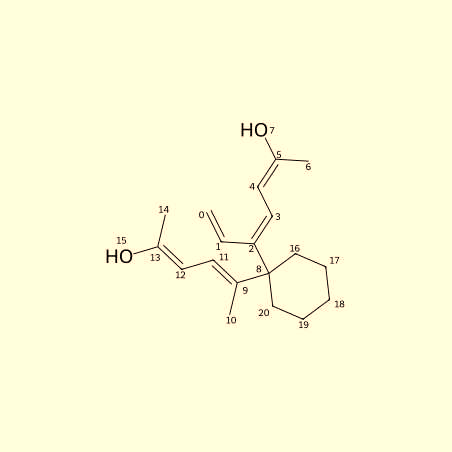 C=C/C(=C\C=C(/C)O)C1(/C(C)=C/C=C(\C)O)CCCCC1